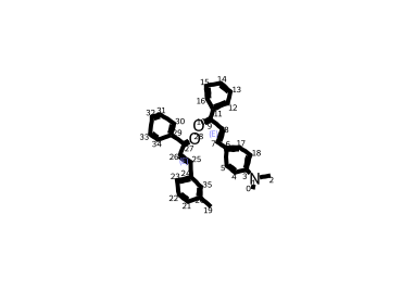 CN(C)c1ccc(/C=C/C(=O)c2ccccc2)cc1.Cc1cccc(/C=C/C(=O)c2ccccc2)c1